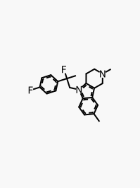 Cc1ccc2c(c1)c1c(n2CC(C)(F)c2ccc(F)cc2)CCN(C)C1